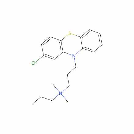 CCC[N+](C)(C)CCCN1c2ccccc2Sc2ccc(Cl)cc21